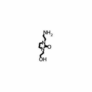 NCCN1CCN(CCO)C1=O